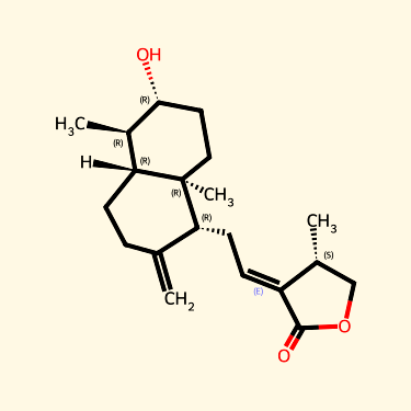 C=C1CC[C@@H]2[C@@H](C)[C@H](O)CC[C@@]2(C)[C@@H]1C/C=C1/C(=O)OC[C@H]1C